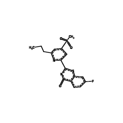 CCCc1cc(S(C)(=O)=O)cc(-c2nc(=O)c3ccc(F)cc3s2)n1